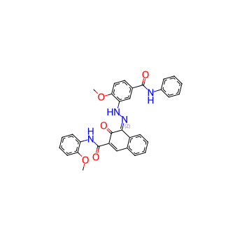 COc1ccc(C(=O)Nc2ccccc2)cc1N/N=C1\C(=O)C(C(=O)Nc2ccccc2OC)=Cc2ccccc21